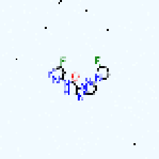 O=C(Nc1cc(F)cnn1)c1cnc2ccc(N3CCC[C@H](F)C3)nn12